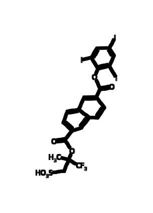 CC(CS(=O)(=O)O)(OC(=O)c1ccc2cc(C(=O)Oc3c(I)cc(I)cc3I)ccc2c1)C(F)(F)F